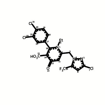 CCn1c(Cn2nc(Cl)cc2C(F)(F)F)cc(=O)c(C(=O)O)c1-c1ccc(Cl)c(Cl)c1